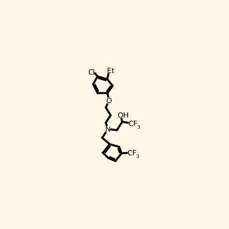 CCc1cc(OCCCN(Cc2cccc(C(F)(F)F)c2)CC(O)C(F)(F)F)ccc1Cl